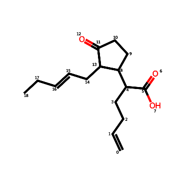 C=CCCC(C(=O)O)C1CCC(=O)C1C/C=C/CC